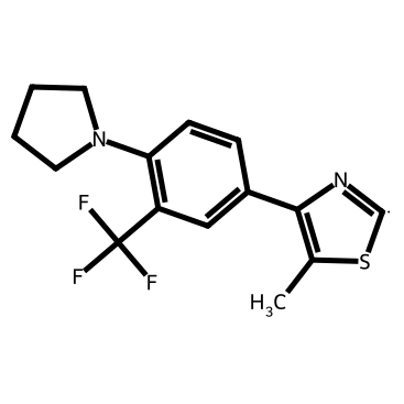 Cc1s[c]nc1-c1ccc(N2CCCC2)c(C(F)(F)F)c1